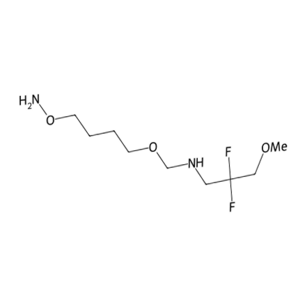 COCC(F)(F)CNCOCCCCON